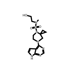 CN(CCO)S(=O)(=O)N1CCN(c2ncnc3[nH]ccc23)CC12CC2